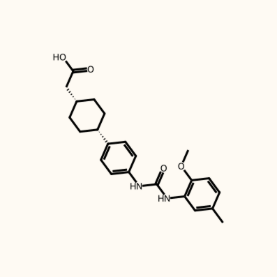 COc1ccc(C)cc1NC(=O)Nc1ccc([C@H]2CC[C@@H](CC(=O)O)CC2)cc1